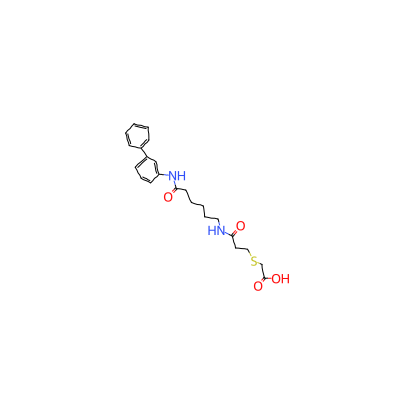 O=C(O)CSCCC(=O)NCCCCCC(=O)Nc1cccc(-c2ccccc2)c1